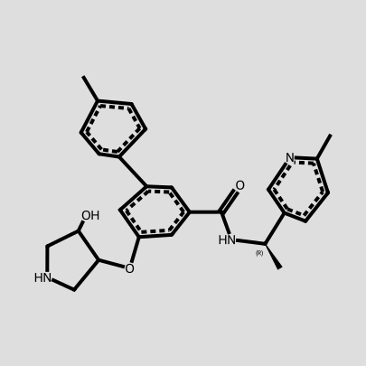 Cc1ccc(-c2cc(OC3CNCC3O)cc(C(=O)N[C@H](C)c3ccc(C)nc3)c2)cc1